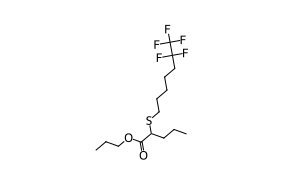 CCCOC(=O)C(CCC)SCCCCCC(F)(F)C(F)(F)F